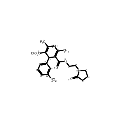 CCOC(=O)C1=C(C(F)(F)F)NC(C)=C(C(=O)OCCN2CCCC2=O)C1c1cccc([N+](=O)[O-])c1